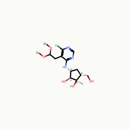 CCOC(Cc1c(Cl)ncnc1N[C@@H]1C[C@H](CO)[C@@](C)(O)[C@H]1O)OCC